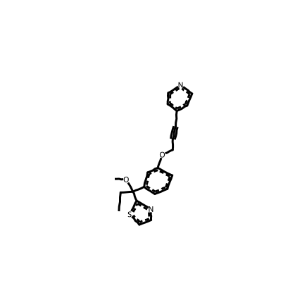 CCC(OC)(c1cccc(OCC#Cc2ccncc2)c1)c1nccs1